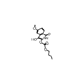 CCCCOC(=O)Oc1[nH]c(=O)c2ccc(OC)cc2c1O